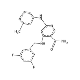 Cc1cccc(Nc2cc(NCc3cc(F)cc(F)c3)c(C(N)=O)cn2)c1